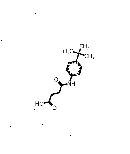 CC(C)(C)c1ccc(NC(=O)CCC(=O)O)cc1